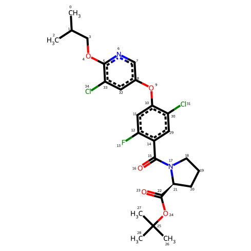 CC(C)COc1ncc(Oc2cc(F)c(C(=O)N3CCC[C@H]3C(=O)OC(C)(C)C)cc2Cl)cc1Cl